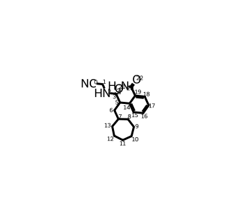 N#CCNC(=O)C(CC1CCCCCC1)c1ccccc1C(N)=O